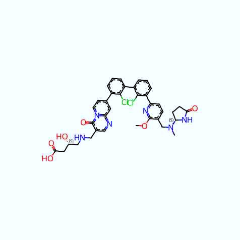 COc1nc(-c2cccc(-c3cccc(-c4ccn5c(=O)c(CNC[C@@H](O)CC(=O)O)cnc5c4)c3Cl)c2Cl)ccc1CN(C)[C@H]1CCC(=O)N1